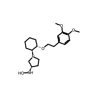 COc1ccc(CCO[C@H]2CCCC[C@@H]2N2CC[C@@H](NO)C2)cc1OC